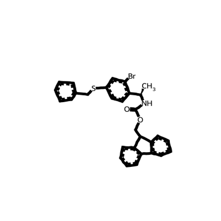 C[C@@H](NC(=O)OCC1c2ccccc2-c2ccccc21)c1ccc(SCc2ccccc2)cc1Br